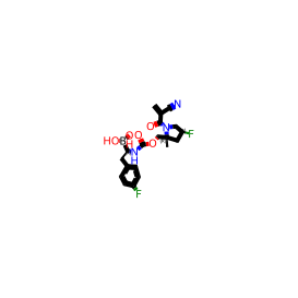 C=C(C#N)C(=O)N1C[C@@H](F)C[C@]1(C)COC(=O)N[C@@H](Cc1ccc(F)cc1)B(O)O